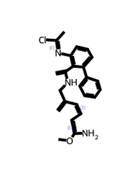 C=C(/C=C\C=C(/N)OC)CNC(=C)c1c(/N=C(\C)Cl)cccc1-c1ccccc1